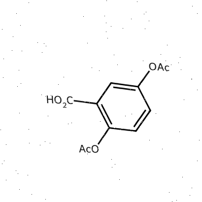 CC(=O)Oc1ccc(OC(C)=O)c(C(=O)O)c1